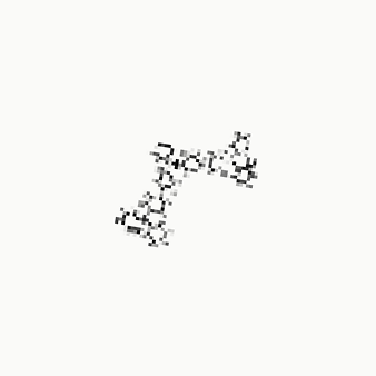 c1ccc(N(c2ccc(-c3ccc(N4c5ccccc5Oc5ccccc54)cc3)cc2)c2ccc(-c3ccc(N4c5ccccc5Oc5ccccc54)cc3)cc2)cc1